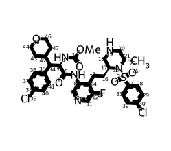 COC(=O)N[C@H](C(=O)Nc1cncc(F)c1CC[C@H]1CNC[C@H](C)N1S(=O)(=O)c1ccc(Cl)cc1)C(c1ccc(Cl)cc1)C1CCOCC1